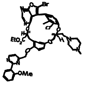 CCOC(=O)[C@H]1Cc2cc(ccc2OCc2ccnc(-c3ccccc3OC)n2)OC[C@@H](CN2CCN(C)CC2)Oc2ccc(c(C)c2Cl)-c2c(Br)oc3ncnc(c23)O1